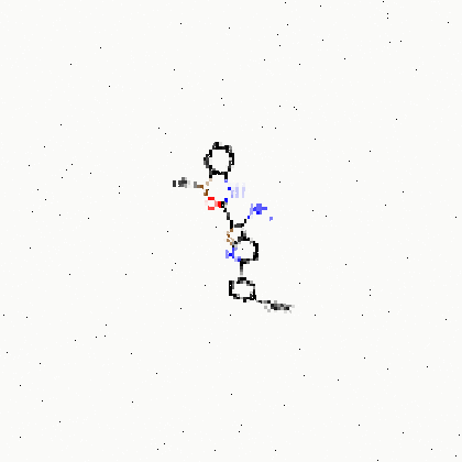 CCCCSc1ccccc1NC(=O)c1sc2nc(-c3cccc(OC)c3)ccc2c1N